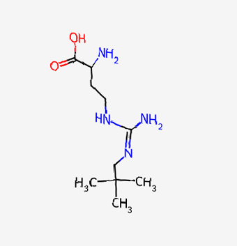 CC(C)(C)CN=C(N)NCCC(N)C(=O)O